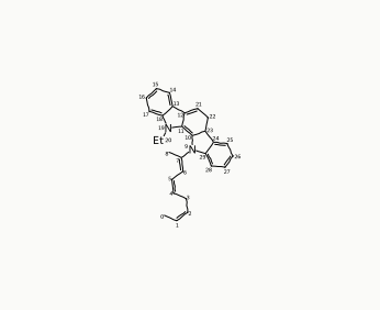 C/C=C\C/C=C\C=C(/C)N1C2=c3c(c4ccccc4n3CC)=CCC2c2ccccc21